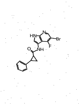 O=C(Nc1c[nH]c2ncc(Br)c(F)c12)C1CC1c1ccccc1